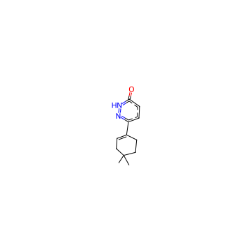 CC1(C)CC=C(c2ccc(=O)[nH]n2)CC1